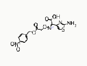 Nc1nc(/C(=N/OCC(=O)OCc2ccc([N+](=O)[O-])cc2)C(=O)O)cs1